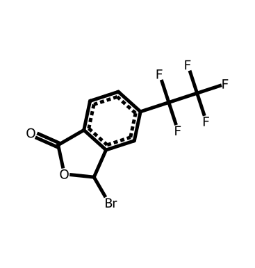 O=C1OC(Br)c2cc(C(F)(F)C(F)(F)F)ccc21